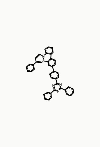 C1=CN2B(C=C1c1ccccc1)c1cc(-c3ccc(-c4nc(-c5ccccc5)nc(-c5ccccc5)n4)cc3)ccc1-c1ccccc12